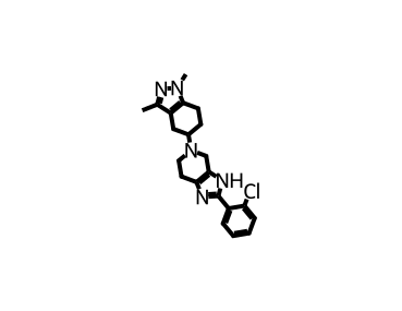 Cc1nn(C)c2c1CC(N1CCc3nc(-c4ccccc4Cl)[nH]c3C1)CC2